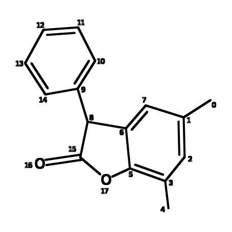 Cc1cc(C)c2c(c1)C(c1ccccc1)C(=O)O2